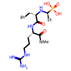 CC[C@@H](N[C@@H](CC(C)C)C(=O)N[C@@H](CCCNC(=N)N)C(=O)NC)P(=O)(O)O